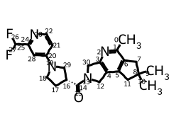 Cc1nc2c(c3c1CC(C)(C)C3)CN(C(=O)[C@@H]1CCN(c3ccnc(C(F)F)c3)C1)C2